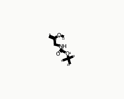 C=C(CNC(=O)OC(C)(C)C)OC